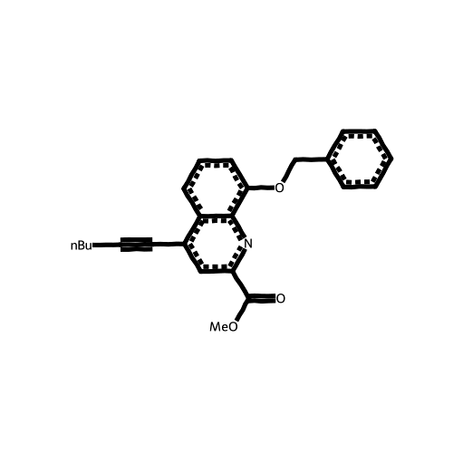 CCCCC#Cc1cc(C(=O)OC)nc2c(OCc3ccccc3)cccc12